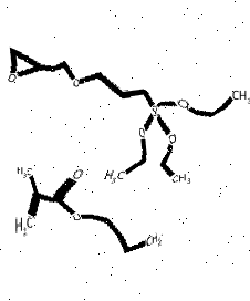 CCO[Si](CCCOCC1CO1)(OCC)OCC.[CH2]CCOC(=O)C(=C)C